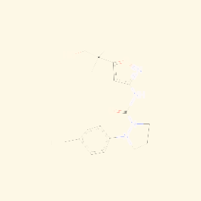 CC(C)(CO)c1cc(NC(=O)N2CCCN2c2ccc(C(F)(F)F)cc2)no1